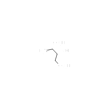 N[C@@H](CCC(=O)O)C(=O)O.[SrH2]